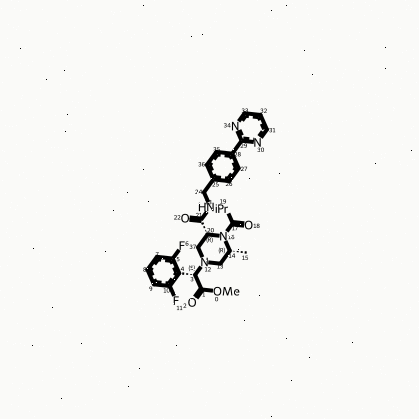 COC(=O)[C@H](c1c(F)cccc1F)N1C[C@@H](C)N(C(=O)C(C)C)[C@@H](C(=O)NCc2ccc(-c3ncccn3)cc2)C1